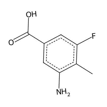 Cc1c(N)cc(C(=O)O)cc1F